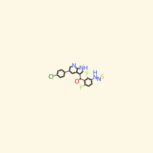 O=C(c1c(F)ccc(NN=S)c1F)c1c[nH]c2ncc(-c3ccc(Cl)cc3)cc12